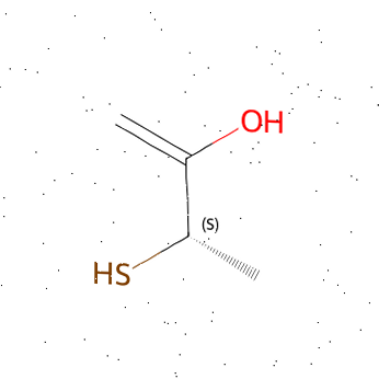 C=C(O)[C@H](C)S